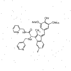 COc1cc(C=C2C(C)=C(C(NCc3cccnc3)C(=O)NCc3ccccn3)c3cc(F)ccc32)cc(OC)c1O